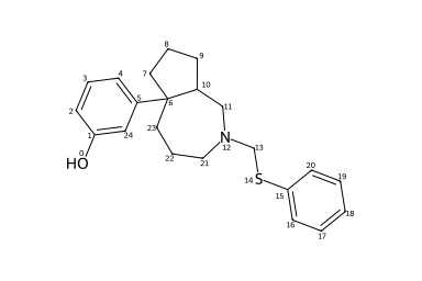 Oc1cccc(C23CCCC2CN(CSc2ccccc2)CCC3)c1